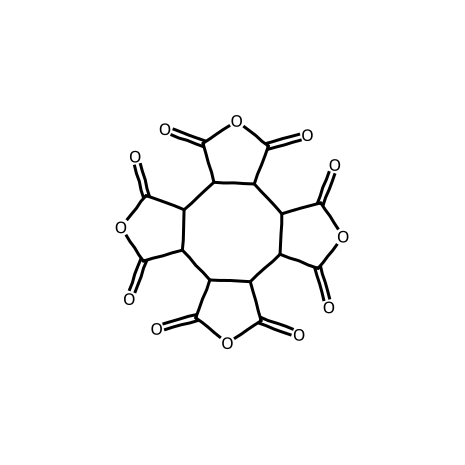 O=C1OC(=O)C2C1C1C(=O)OC(=O)C1C1C(=O)OC(=O)C1C1C(=O)OC(=O)C21